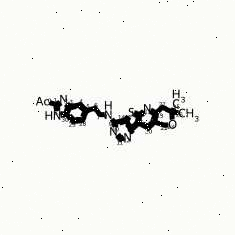 CC(=O)c1nc2cc(CCNc3ncnc4c3sc3nc5c(cc34)COC(C)(C)C5)ccc2[nH]1